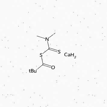 CN(C)C(=S)SC(=O)C(C)(C)C.[CaH2]